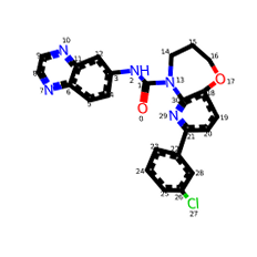 O=C(Nc1ccc2nccnc2c1)N1CCCOc2ccc(-c3cccc(Cl)c3)nc21